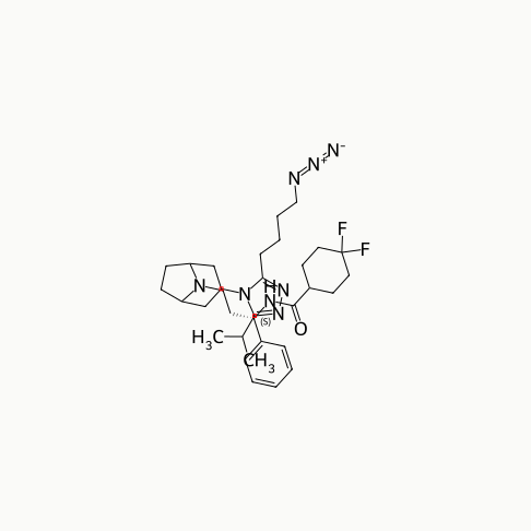 CC(C)c1nnc(CCCCN=[N+]=[N-])n1C1CC2CCC(C1)N2CC[C@H](NC(=O)C1CCC(F)(F)CC1)c1ccccc1